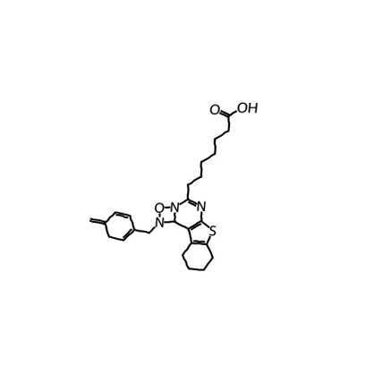 C=C1C=CC(CN2ON3C(CCCCCCC(=O)O)=Nc4sc5c(c4C23)CCCC5)=CC1